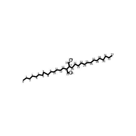 CCCCCCCCCCCCCCC(C=O)C(C=O)CCCCCCCCCCCCCC